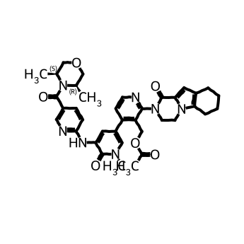 CC(=O)OCc1c(-c2cc(Nc3ccc(C(=O)N4[C@H](C)COC[C@@H]4C)cn3)c(=O)n(C)c2)ccnc1N1CCn2c(cc3c2CCCC3)C1=O